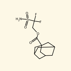 NS(=O)(=O)C(F)(F)COC(=O)C12CC3CC(CC(C3)C1)C2